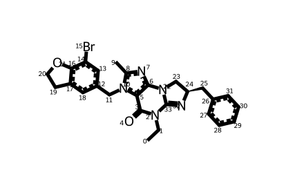 CCN1C(=O)c2c(nc(C)n2Cc2cc(Br)c3c(c2)CCO3)N2C[C@@H](Cc3ccccc3)N=C12